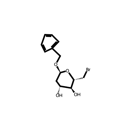 O[C@H]1[C@H](O)C[C@@H](OCc2ccccc2)O[C@@H]1CBr